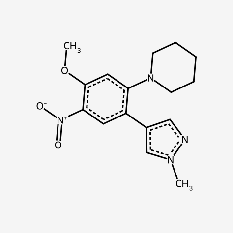 COc1cc(N2CCCCC2)c(-c2cnn(C)c2)cc1[N+](=O)[O-]